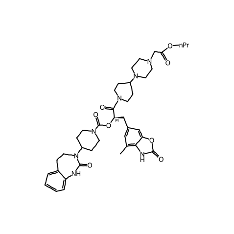 CCCOC(=O)CN1CCN(C2CCN(C(=O)[C@@H](Cc3cc(C)c4[nH]c(=O)oc4c3)OC(=O)N3CCC(N4CCc5ccccc5NC4=O)CC3)CC2)CC1